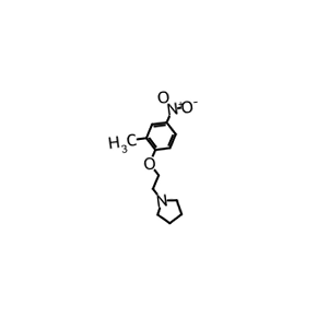 Cc1cc([N+](=O)[O-])ccc1OCCN1CCCC1